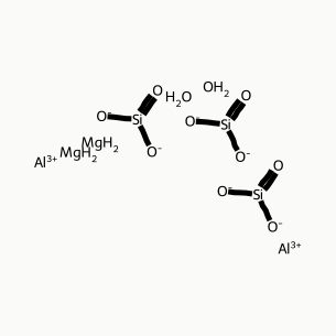 O.O.O=[Si]([O-])[O-].O=[Si]([O-])[O-].O=[Si]([O-])[O-].[Al+3].[Al+3].[MgH2].[MgH2]